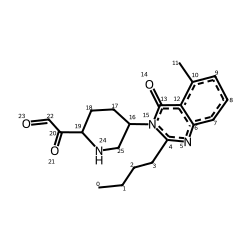 CCCCc1nc2cccc(C)c2c(=O)n1C1CCC(C(=O)C=O)NC1